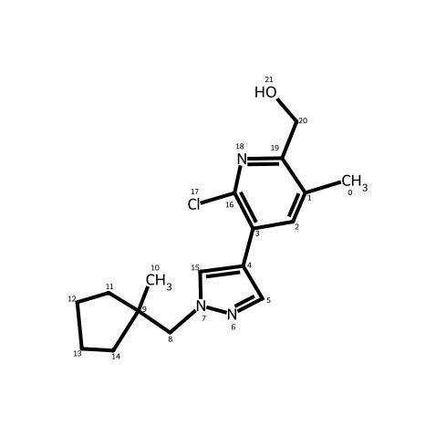 Cc1cc(-c2cnn(CC3(C)CCCC3)c2)c(Cl)nc1CO